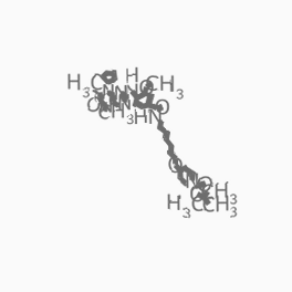 CC[C@@H]1C(=O)N(C)c2cnc(Nc3ccc(C(=O)NCCCCCCCOC4CCN(C(=O)OC(C)(C)C)CC4)cc3OC)nc2N1C1CCCC1